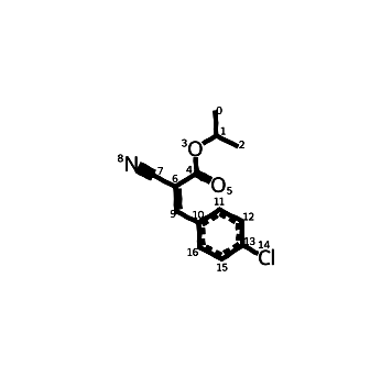 CC(C)OC(=O)C(C#N)=Cc1ccc(Cl)cc1